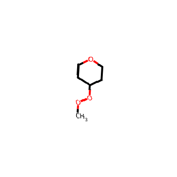 COOC1CCOCC1